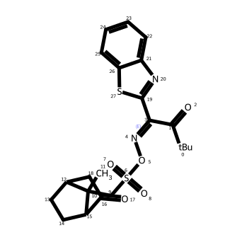 CC(C)(C)C(=O)/C(=N\OS(=O)(=O)CC1(C)C2CCC1C(=O)C2)c1nc2ccccc2s1